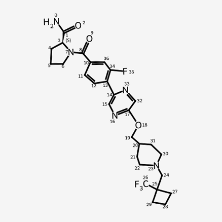 NC(=O)[C@@H]1CCCN1C(=O)c1ccc(-c2cnc(OCC3CCN(CC4(C(F)(F)F)CCC4)CC3)cn2)c(F)c1